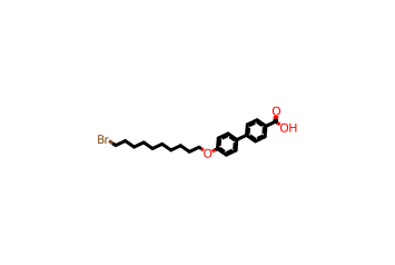 O=C(O)c1ccc(-c2ccc(OCCCCCCCCCCBr)cc2)cc1